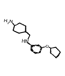 NC1CCC(CNc2cccc(OC3CCCC3)c2)CC1